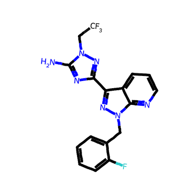 Nc1nc(-c2nn(Cc3ccccc3F)c3ncccc23)nn1CC(F)(F)F